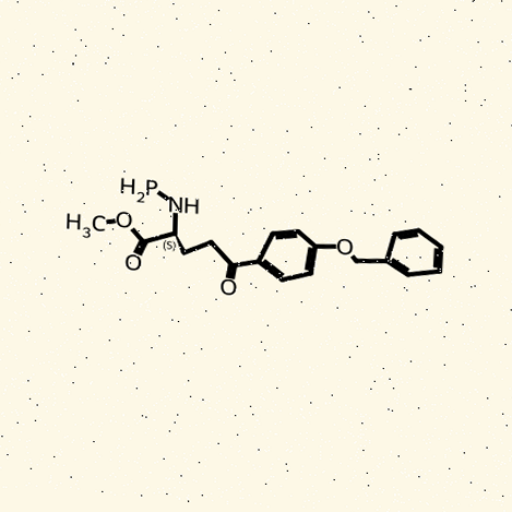 COC(=O)[C@H](CCC(=O)c1ccc(OCc2ccccc2)cc1)NP